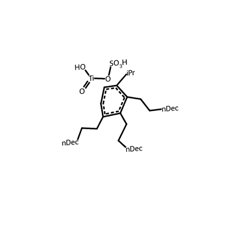 CCCCCCCCCCCCc1ccc(C(C)C)c(CCCCCCCCCCCC)c1CCCCCCCCCCCC.[O]=[Ti]([OH])[O]S(=O)(=O)O